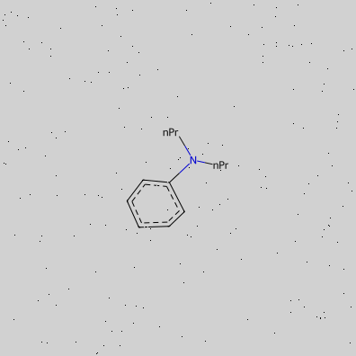 [CH2]CCN(CCC)c1ccccc1